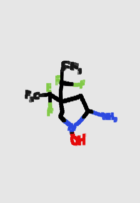 NC1CC(C(F)(F)C(F)(F)F)(C(F)(F)C(F)(F)F)CN1O